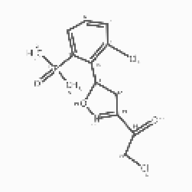 CP(C)(=O)c1cccc(Cl)c1C1CC(C(=O)CCl)=NO1